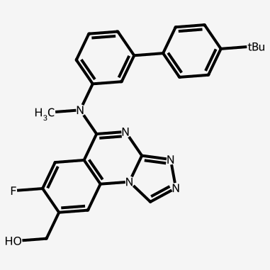 CN(c1cccc(-c2ccc(C(C)(C)C)cc2)c1)c1nc2nncn2c2cc(CO)c(F)cc12